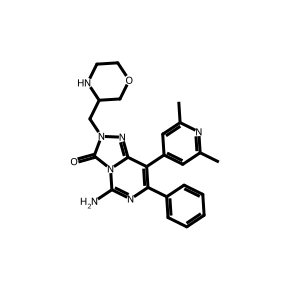 Cc1cc(-c2c(-c3ccccc3)nc(N)n3c(=O)n(CC4COCCN4)nc23)cc(C)n1